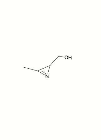 CC1=NC1CO